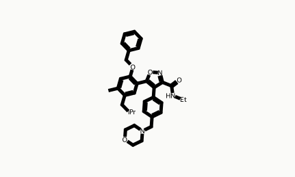 CCNC(=O)c1noc(-c2cc(CC(C)C)c(C)cc2OCc2ccccc2)c1-c1ccc(CN2CCOCC2)cc1